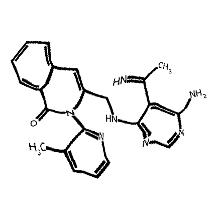 CC(=N)c1c(N)ncnc1NCc1cc2ccccc2c(=O)n1-c1ncccc1C